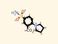 NS(=O)(=O)c1ccc(N2CCCC2)c(C(=O)O)c1